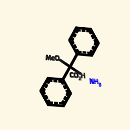 COC(C(=O)O)(c1ccccc1)c1ccccc1.N